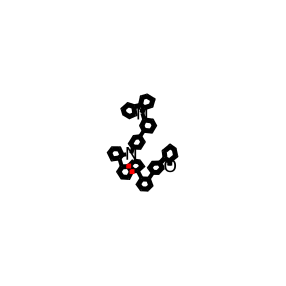 c1ccc(-c2ccccc2N(c2ccc(-c3cccc(-n4c5ccccc5c5ccccc54)c3)cc2)c2ccc(-c3ccccc3-c3ccc4c(c3)oc3ccccc34)cc2)cc1